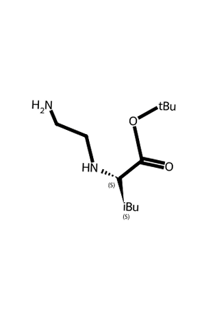 CC[C@H](C)[C@H](NCCN)C(=O)OC(C)(C)C